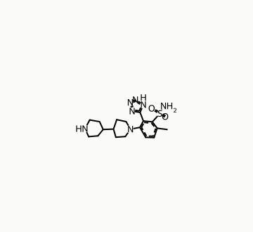 Cc1ccc(N2CCC(C3CCNCC3)CC2)c(-c2nnn[nH]2)c1S(N)(=O)=O